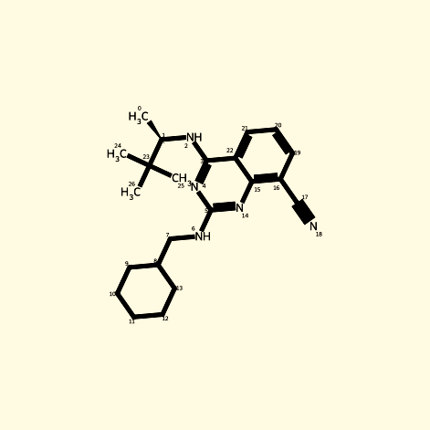 C[C@@H](Nc1nc(NCC2CCCCC2)nc2c(C#N)cccc12)C(C)(C)C